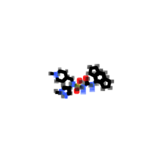 CN1CCC(CN(c2cnn(C)c2)S(=O)(=O)NC(=O)Nc2c3c(cc4c2CCC4)CCC3)CC1